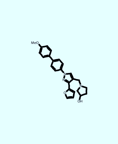 COc1ccc(-c2ccc(-n3cc(CN4CCC(O)C4)c(-c4ccco4)n3)cc2)cc1